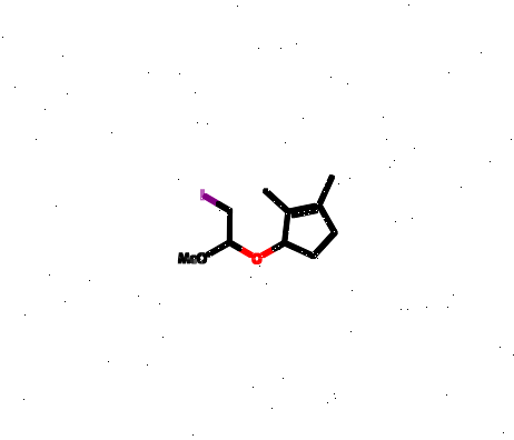 COC(CI)OC1CCC(C)=C1C